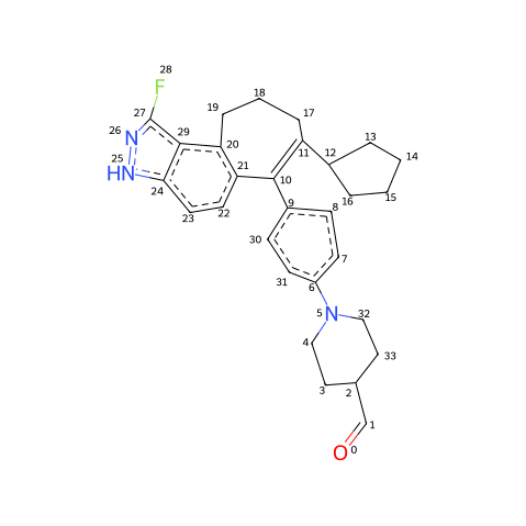 O=CC1CCN(c2ccc(C3=C(C4CCCC4)CCCc4c3ccc3[nH]nc(F)c43)cc2)CC1